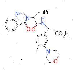 Cc1ccc(C(CC(=O)O)NC(=O)C(CC(C)C)n2cnc3ccccc3c2=O)cc1N1CCOCC1